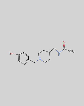 CC(=O)NCC1CCN(Cc2ccc(Br)cc2)CC1